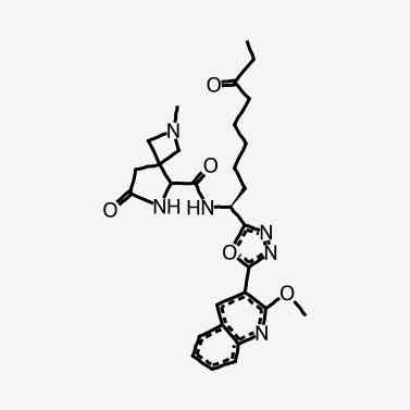 CCC(=O)CCCCC[C@H](NC(=O)C1NC(=O)CC12CN(C)C2)c1nnc(-c2cc3ccccc3nc2OC)o1